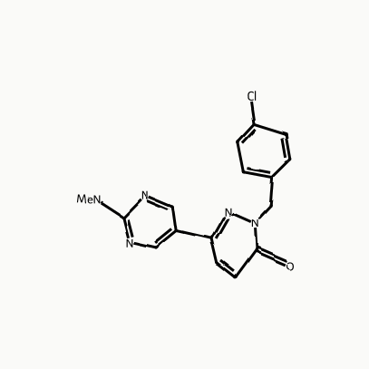 CNc1ncc(-c2ccc(=O)n(Cc3ccc(Cl)cc3)n2)cn1